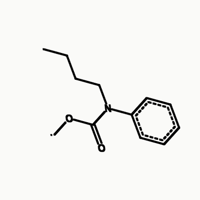 [CH2]OC(=O)N(CCCC)c1ccccc1